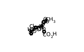 CS(=O)(=O)N1CCCN([C@H]2C[C@@H](CO[C@H]3CC[C@H](C(=O)O)CC3)N(C(=O)Cc3cc(Cl)c(NC(=O)c4csc5ccccc45)cc3Cl)C2)CC1